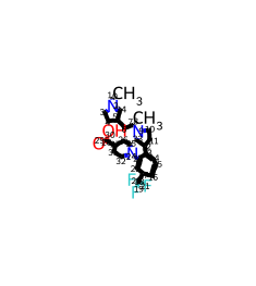 CCN1CCC(CC(C)N2CCC(C3=CC=CC(C(F)(F)F)C=C3N3CCC(C(=O)O)CC3)C2)C1